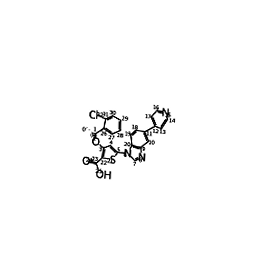 C[C@@H](Oc1cc(-n2cnc3cc(-c4ccncc4)ccc32)sc1C(=O)O)c1ccccc1Cl